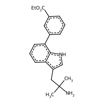 CCOC(=O)c1cccc(-c2cccc3c(CC(C)(C)N)c[nH]c23)c1